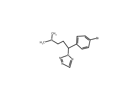 CN(C)CCC(c1ccc(Br)cc1)n1ncnn1